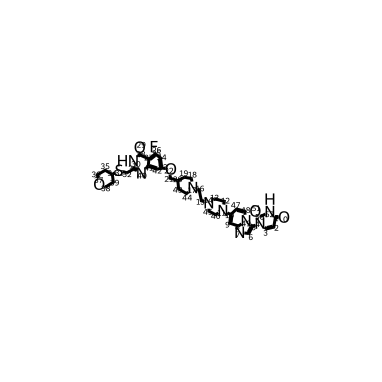 O=c1ccn(-c2cnc3cc(N4CCN(CCN5CCC(COc6cc(F)c7c(=O)[nH]c(CSC8CCOCC8)nc7c6)CC5)CC4)ccn23)c(=O)[nH]1